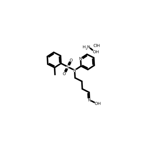 Cc1ccccc1S(=O)(=O)N(CCCC=NO)c1ccccn1.Cl.NO